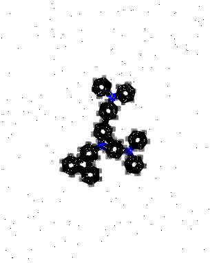 c1ccc(N(c2ccccc2)c2ccc(-c3ccc4c(c3)c3cc(N(c5ccccc5)c5ccccc5)ccc3n4-c3ccc4c5ccccc5c5ccccc5c4c3)cc2)cc1